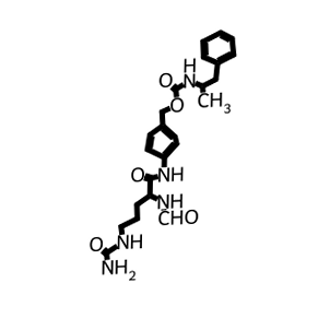 CC(Cc1ccccc1)NC(=O)OCc1ccc(NC(=O)C(CCCNC(N)=O)NC=O)cc1